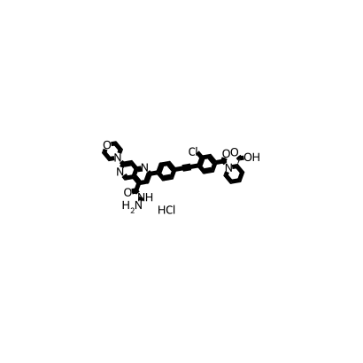 Cl.NNC(=O)c1cc(-c2ccc(C#Cc3ccc(C(=O)N4CCCC[C@H]4C(=O)O)cc3Cl)cc2)nc2cc(N3CCOCC3)ncc12